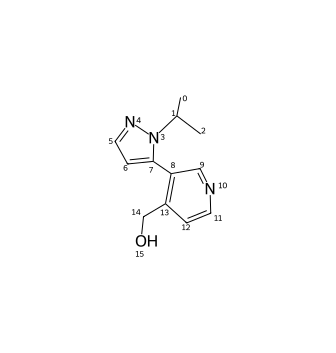 CC(C)n1nccc1-c1cnccc1CO